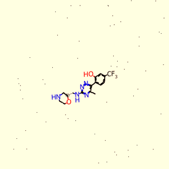 Cc1nc(NC[C@H]2CNCCO2)nnc1-c1ccc(C(F)(F)F)cc1O